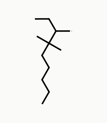 [CH2]C(CC)C(C)(C)CCCCC